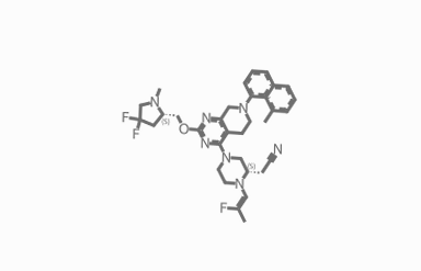 CC(F)=CN1CCN(c2nc(OC[C@@H]3CC(F)(F)CN3C)nc3c2CCN(c2cccc4cccc(C)c24)C3)C[C@@H]1CC#N